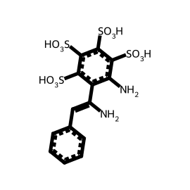 NC(=Cc1ccccc1)c1c(N)c(S(=O)(=O)O)c(S(=O)(=O)O)c(S(=O)(=O)O)c1S(=O)(=O)O